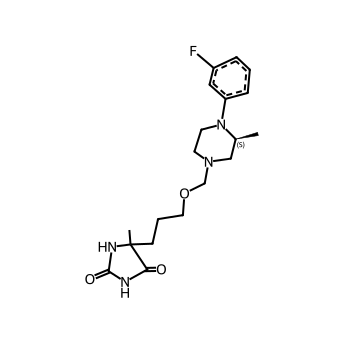 C[C@H]1CN(COCCCC2(C)NC(=O)NC2=O)CCN1c1cccc(F)c1